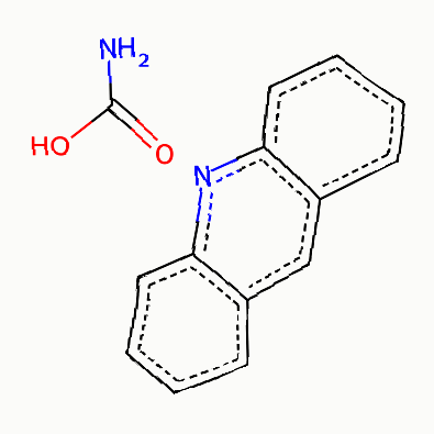 NC(=O)O.c1ccc2nc3ccccc3cc2c1